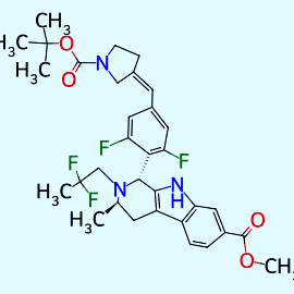 COC(=O)c1ccc2c3c([nH]c2c1)[C@@H](c1c(F)cc(/C=C2/CCN(C(=O)OC(C)(C)C)C2)cc1F)N(CC(C)(F)F)[C@H](C)C3